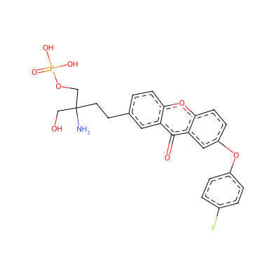 NC(CO)(CCc1ccc2oc3ccc(Oc4ccc(F)cc4)cc3c(=O)c2c1)COP(=O)(O)O